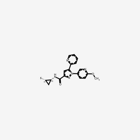 COc1ccc(-n2nc(C(=O)N[C@@H]3C[C@@H]3F)cc2-c2ccccn2)cn1